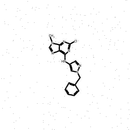 Cn1cnc2c(Nc3cnn(Cc4ccccc4)c3)nc(Cl)nc21